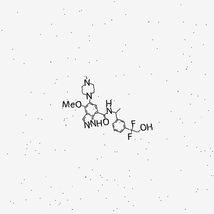 COc1c(N2CCN(C)CC2)cc(C(=O)NC(C)c2cccc(C(F)(F)CO)c2)c2[nH]ncc12